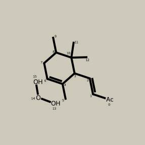 CC(=O)C=CC1C(C)=CCC(C)C1(C)C.OOO